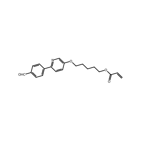 C=CC(=O)OCCCCCOc1ccc(-c2ccc(C=O)cc2)nc1